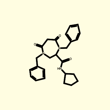 O=C(NC1CCCC1)C1CN(Cc2ccccc2)C(=O)CC(=O)N1Cc1ccccc1